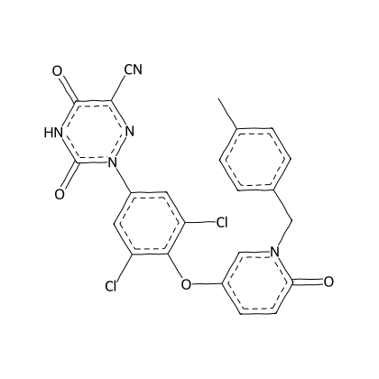 Cc1ccc(Cn2cc(Oc3c(Cl)cc(-n4nc(C#N)c(=O)[nH]c4=O)cc3Cl)ccc2=O)cc1